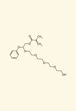 C=C(C)C(=O)OCC(OCCOCCOCCOCCO)Oc1ccccc1